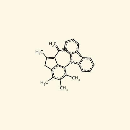 BC(=C)C1=C(C)Cc2c(C)c(C)c(C)c(-n3c4ccccc4c4ccccc43)c21